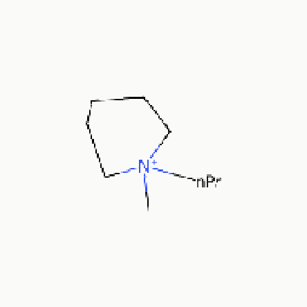 [CH2]CC[N+]1(C)CCCCC1